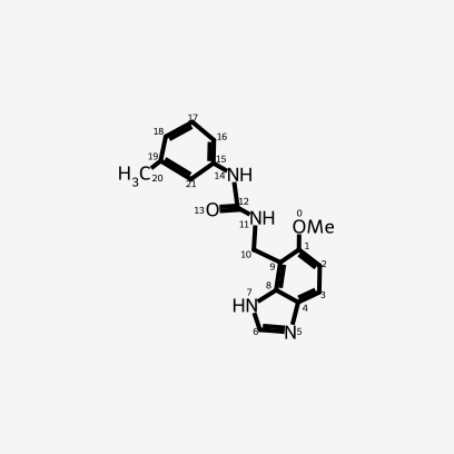 COc1ccc2nc[nH]c2c1CNC(=O)Nc1cccc(C)c1